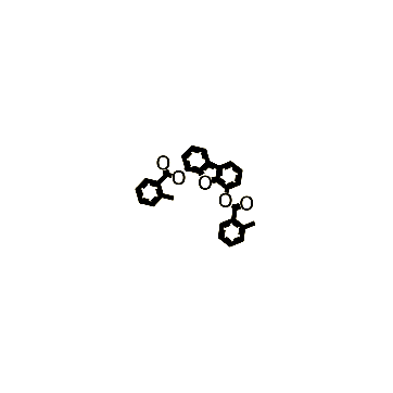 Cc1ccccc1C(=O)Oc1cccc2c1oc1c(OC(=O)c3ccccc3C)cccc12